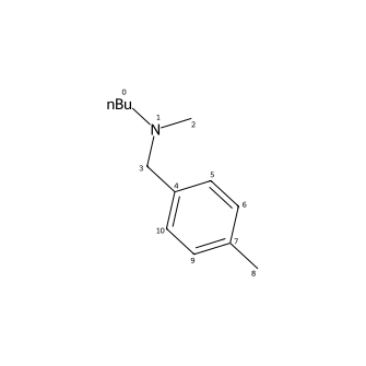 CCCCN(C)Cc1ccc(C)cc1